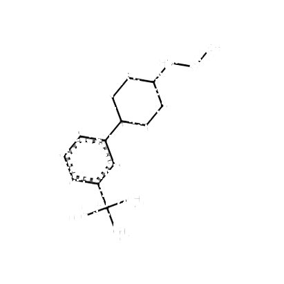 CONC1CCC(c2cccc(C(C)(C)C)c2)CC1